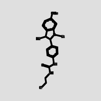 CCN1c2cc(OC)ccc2C(C#N)C1c1ccc(NC(=O)NCCCl)cc1